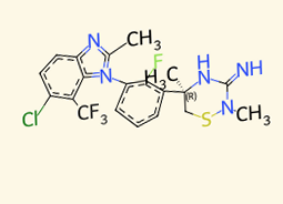 Cc1nc2ccc(Cl)c(C(F)(F)F)c2n1-c1cccc([C@]2(C)CSN(C)C(=N)N2)c1F